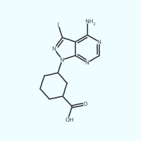 Nc1ncnc2c1c(I)nn2C1CCCC(C(=O)O)C1